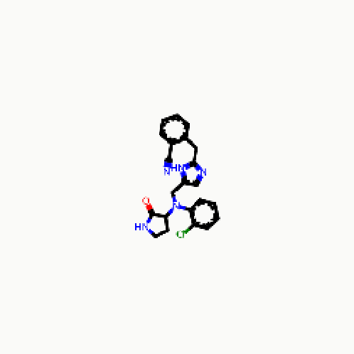 N#Cc1ccccc1Cc1ncc(CN(c2ccccc2Cl)C2CCNC2=O)[nH]1